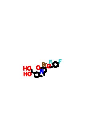 Cc1ccc(C(O)CO)cc1-n1c(C)cc(OCc2ccc(F)cc2F)c(Br)c1=O